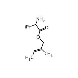 CC=C(C)COC(=O)C(N)C(C)C